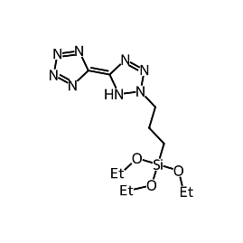 CCO[Si](CCCN1N=NC(=C2N=NN=N2)N1)(OCC)OCC